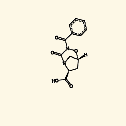 O=C(O)[C@@H]1C[C@@H]2CN1C(=O)N(C(=O)c1ccccc1)O2